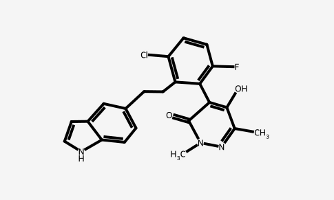 Cc1nn(C)c(=O)c(-c2c(F)ccc(Cl)c2CCc2ccc3[nH]ccc3c2)c1O